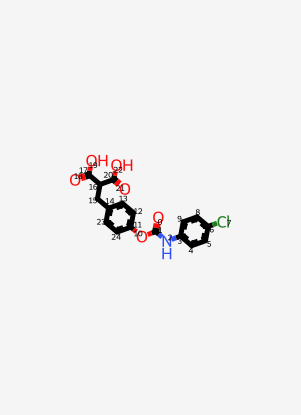 O=C(Nc1ccc(Cl)cc1)Oc1ccc(CC(C(=O)O)C(=O)O)cc1